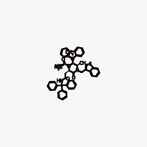 CCOC(OCC)[C@H](C)N(Cc1csc2ccccc12)C(=O)[C@H](CC(=O)NC(c1ccccc1)(c1ccccc1)c1ccccc1)N(CC1c2ccccc2-c2ccccc21)C(=O)O